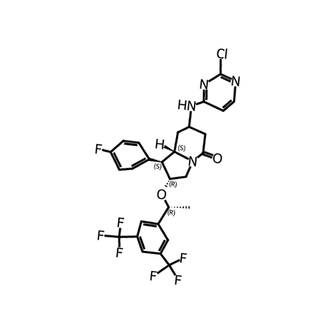 C[C@@H](O[C@H]1CN2C(=O)CC(Nc3ccnc(Cl)n3)C[C@H]2[C@@H]1c1ccc(F)cc1)c1cc(C(F)(F)F)cc(C(F)(F)F)c1